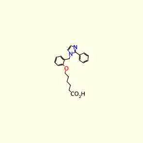 O=C(O)CCCCCOc1ccccc1Cn1ccnc1-c1ccccc1